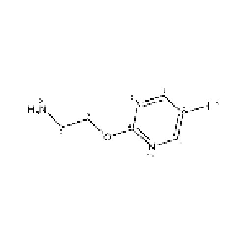 NCCOc1ncc(I)cn1